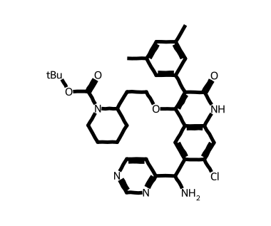 Cc1cc(C)cc(-c2c(OCCC3CCCCN3C(=O)OC(C)(C)C)c3cc(C(N)c4ccncn4)c(Cl)cc3[nH]c2=O)c1